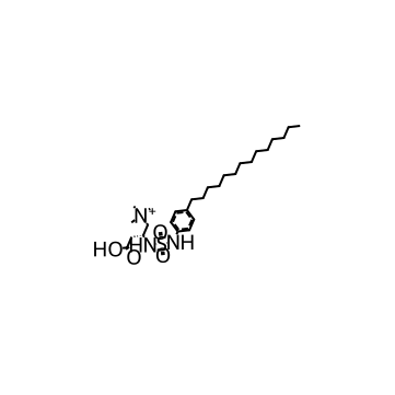 CCCCCCCCCCCCCCc1ccc(NS(=O)(=O)N[C@H](CC(=O)O)C[N+](C)(C)C)cc1